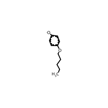 CCCCCOc1ccc([O])cc1